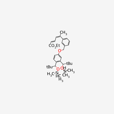 CCOC(=O)/C=C/C=C(/C)c1cccc(COc2ccc(C(O[SiH](C)C)C(C)(C)C)c(C(O[SiH](C)C)C(C)(C)C)c2)c1